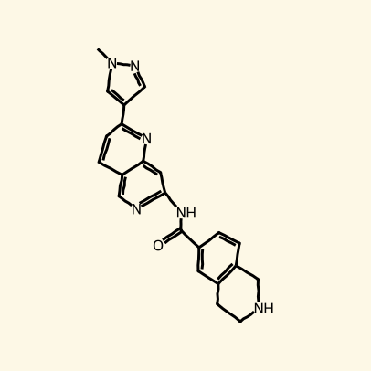 Cn1cc(-c2ccc3cnc(NC(=O)c4ccc5c(c4)CCNC5)cc3n2)cn1